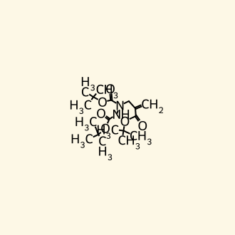 C=C(CN(NC(=O)OC(C)(C)C)C(=O)OC(C)(C)C)C(=O)OC(C)(C)C